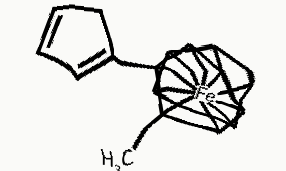 C[C]12[CH]3[CH]4[CH]5[C]1(C1=CC=CC1)[Fe]43521678[CH]2[CH]1[CH]6[CH]7[CH]28